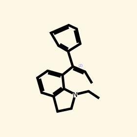 C/C=C(/c1ccccc1)c1cccc2c1N(CC)CC2